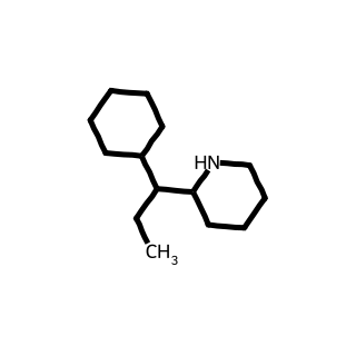 CCC(C1CCCCC1)C1CCCCN1